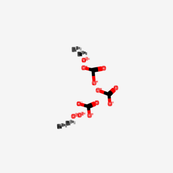 O=C([O-])[O-].O=C([O-])[O-].O=C([O-])[O-].[Bi+3].[Bi+3].[Bi+3].[Bi+3].[O-2].[O-2].[O-2]